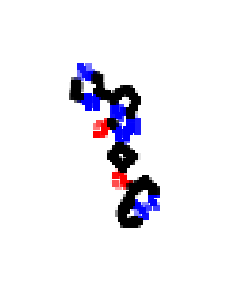 O=c1n(C2CC(Oc3ccnn4cccc34)C2)nc2n1C(c1cnccn1)CC2